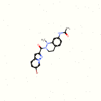 CC(=O)Nc1ccc2c(c1)N(C)N(C(=O)c1cc3ccc(Br)cn3n1)CC2